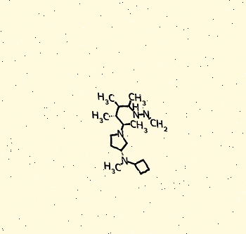 C=NNC(C)[C@H](C)[C@@H](C)[C@@H](C)N1CC[C@@H](N(C)C2CCC2)C1